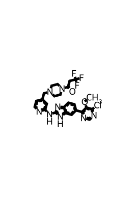 COc1c(Cl)ncnc1-c1ccc2nc(Nc3cc(CN4CCN(C(=O)CC(F)(F)F)CC4)ccn3)[nH]c2c1